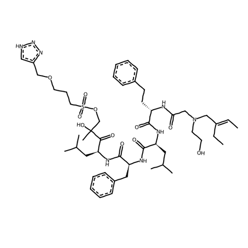 C/C=C(\CC)CN(CCO)CC(=O)N[C@@H](CCc1ccccc1)C(=O)N[C@@H](CC(C)C)C(=O)N[C@@H](Cc1ccccc1)C(=O)N[C@@H](CC(C)C)C(=O)C(C)(O)COS(=O)(=O)CCCOCc1c[nH]nn1